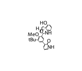 COc1c(C(=O)Nc2cccc(O)c2C)cc(-c2ccc[nH]c2=O)cc1C(C)(C)C